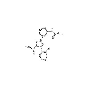 CC(=O)Nc1cc(-n2cc(-c3ccccc3Cl)c(C(N)=O)n2)ccn1